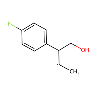 C[CH]C(CO)c1ccc(F)cc1